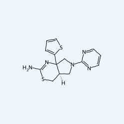 NC1=NC2(c3cccs3)CN(c3ncccn3)C[C@H]2CS1